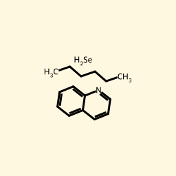 CCCCCC.[SeH2].c1ccc2ncccc2c1